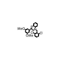 COc1cc(OC)cc(N2CN(Cc3c(Cl)cccc3Cl)c3ccccc3S2)c1